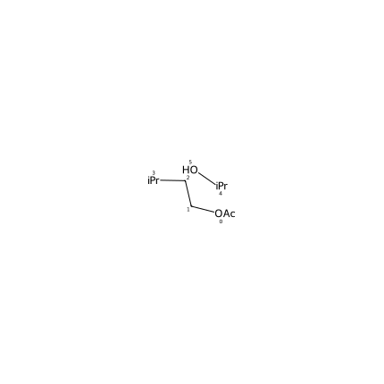 CC(=O)OCCC(C)C.CC(C)O